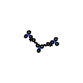 CC1(C)C2=CC(/C=C/c3ccc4c(c3)c3cc(/C=C/c5ccc6c(c5)C(C)(C)c5cc(N(c7ccccc7)c7ccccc7)ccc5-6)ccc3n4-c3ccccc3)=CCC2c2ccc(N(c3ccccc3)c3ccccc3)cc21